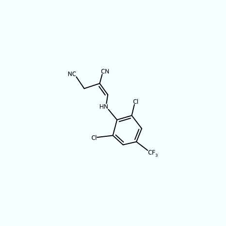 N#CCC(C#N)=CNc1c(Cl)cc(C(F)(F)F)cc1Cl